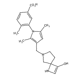 Cc1ccc(C(=O)O)cc1-n1c(C)cc(CN2CCC3(C2)NC=C3O)c1C